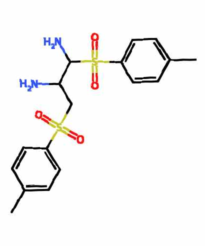 Cc1ccc(S(=O)(=O)CC(N)C(N)S(=O)(=O)c2ccc(C)cc2)cc1